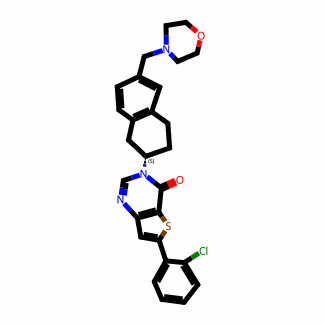 O=c1c2sc(-c3ccccc3Cl)cc2ncn1[C@H]1CCc2cc(CN3CCOCC3)ccc2C1